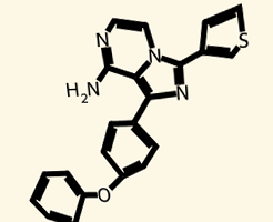 Nc1nccn2c(-c3ccsc3)nc(-c3ccc(Oc4ccccc4)cc3)c12